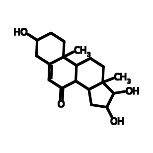 CC12CCC(O)CC1=CC(=O)C1C2CCC2(C)C(O)C(O)CC12